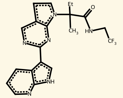 CCC(C)(C(=O)NCC(F)(F)F)n1ccc2cnc(-c3c[nH]c4ncccc34)nc21